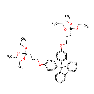 CCO[Si](CCCOc1ccc(C2(c3ccc(OCCC[Si](OCC)(OCC)OCC)cc3)c3ccccc3-c3ccccc32)cc1)(OCC)OCC